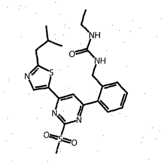 CCNC(=O)NCc1ccccc1-c1cc(-c2cnc(CC(C)C)s2)nc(S(C)(=O)=O)n1